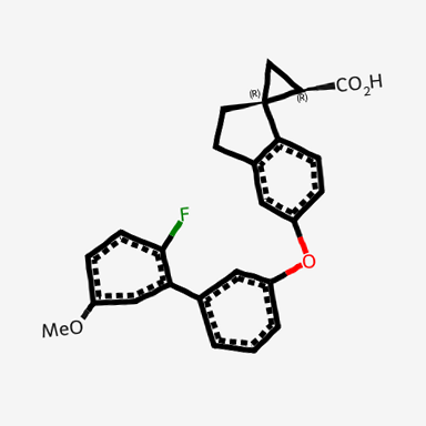 COc1ccc(F)c(-c2cccc(Oc3ccc4c(c3)CC[C@]43C[C@H]3C(=O)O)c2)c1